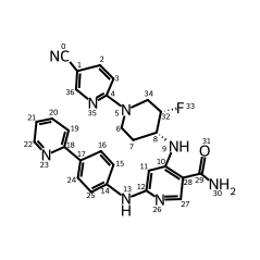 N#Cc1ccc(N2CC[C@@H](Nc3cc(Nc4ccc(-c5ccccn5)cc4)ncc3C(N)=O)[C@@H](F)C2)nc1